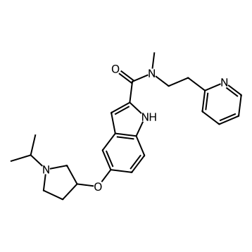 CC(C)N1CCC(Oc2ccc3[nH]c(C(=O)N(C)CCc4ccccn4)cc3c2)C1